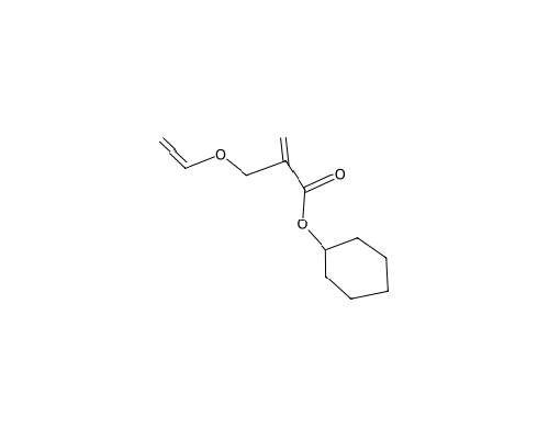 C=COCC(=C)C(=O)OC1CCCCC1